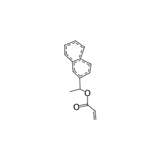 C=CC(=O)OC(C)c1ccc2ccccc2c1